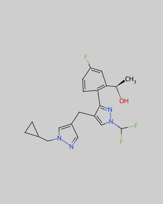 C[C@@H](O)c1cc(F)ccc1-c1nn(C(F)F)cc1Cc1cnn(CC2CC2)c1